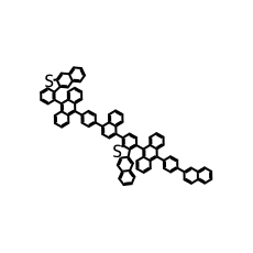 c1ccc2cc(-c3ccc(-c4c5ccccc5c(-c5ccc(-c6ccc(-c7ccc(-c8c9ccccc9c(-c9cccc%10sc%11cc%12ccccc%12cc%11c9%10)c9ccccc89)cc7)c7ccccc67)c6sc7cc8ccccc8cc7c56)c5ccccc45)cc3)ccc2c1